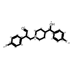 O=CC(CN1CCC(C(O)c2ccc(F)cc2)CC1)c1ccc(F)cc1